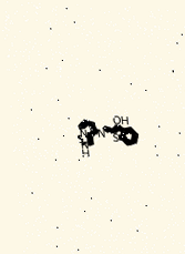 Oc1c(C=NC2=CC=CN3SNC=C23)sc2ccccc12